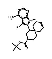 Cn1c(C2CN(C(=O)OC(C)(C)C)CCC23CC=CCC3)c(Br)c2c(N)ncnc21